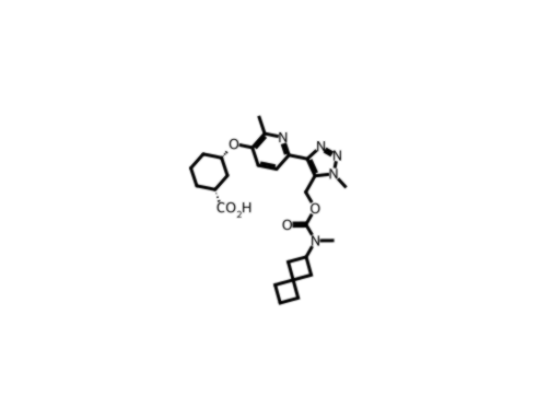 Cc1nc(-c2nnn(C)c2COC(=O)N(C)C2CC3(CCC3)C2)ccc1O[C@H]1CCC[C@@H](C(=O)O)C1